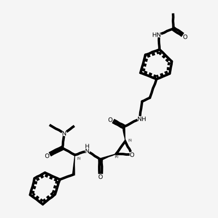 CC(=O)Nc1ccc(CCNC(=O)[C@H]2O[C@H]2C(=O)N[C@@H](Cc2ccccc2)C(=O)N(C)C)cc1